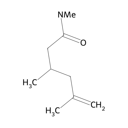 C=C(C)CC(C)CC(=O)NC